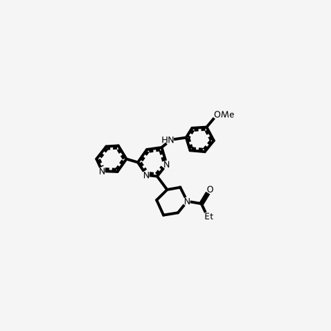 CCC(=O)N1CCCC(c2nc(Nc3cccc(OC)c3)cc(-c3cccnc3)n2)C1